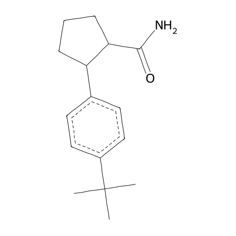 CC(C)(C)c1ccc(C2CCCC2C(N)=O)cc1